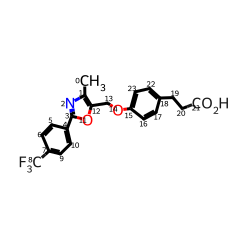 Cc1nc(-c2ccc(C(F)(F)F)cc2)oc1COc1ccc(CCC(=O)O)cc1